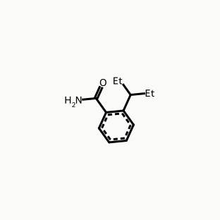 CCC(CC)c1ccccc1C(N)=O